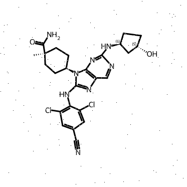 C[C@]1(C(N)=O)CC[C@@H](n2c(Nc3c(Cl)cc(C#N)cc3Cl)nc3cnc(N[C@H]4CC[C@H](O)C4)nc32)CC1